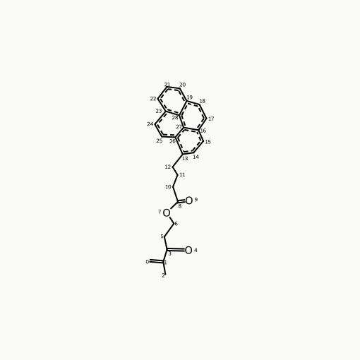 C=C(C)C(=O)CCOC(=O)CCCc1ccc2ccc3cccc4ccc1c2c34